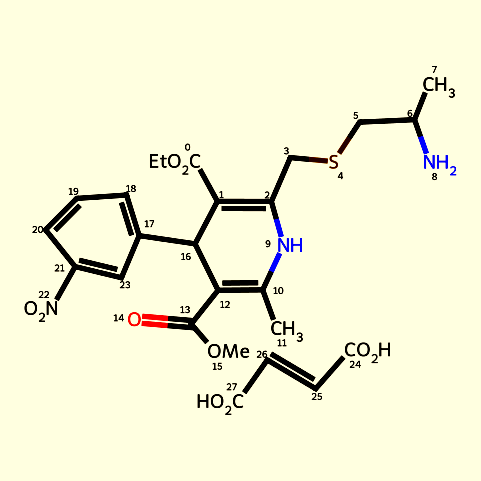 CCOC(=O)C1=C(CSCC(C)N)NC(C)=C(C(=O)OC)C1c1cccc([N+](=O)[O-])c1.O=C(O)/C=C/C(=O)O